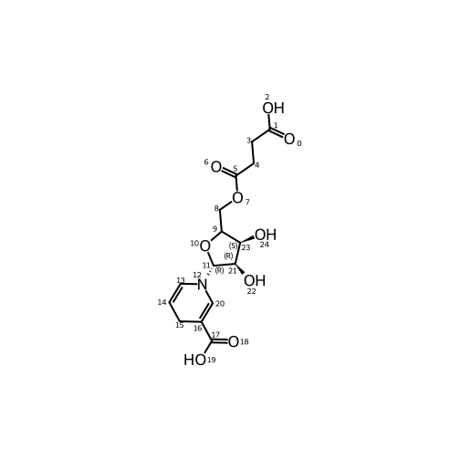 O=C(O)CCC(=O)OCC1O[C@@H](N2C=CCC(C(=O)O)=C2)[C@H](O)[C@@H]1O